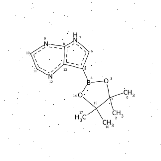 CC1(C)OB(c2c[nH]c3nccnc23)OC1(C)C